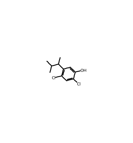 CC(C)C(C)c1cc(O)c(Cl)cc1Cl